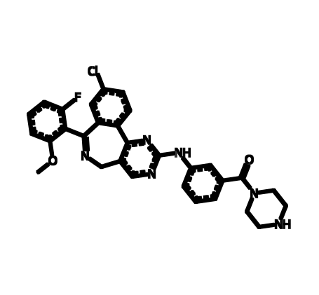 COc1cccc(F)c1C1=NCc2cnc(Nc3cccc(C(=O)N4CCNCC4)c3)nc2-c2ccc(Cl)cc21